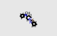 CN(c1ccccc1)C1CCN(c2nc3ccccc3s2)CC1